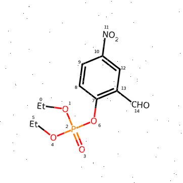 CCOP(=O)(OCC)Oc1ccc([N+](=O)[O-])cc1C=O